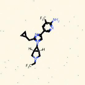 Nc1ncc(-c2cn(C3[C@H]4CN(CC(F)(F)F)C[C@@H]34)c(CC3CC3)n2)cc1C(F)(F)F